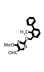 COc1nc(OCc2cccc(-c3ccccc3)c2C)ncc1C=O